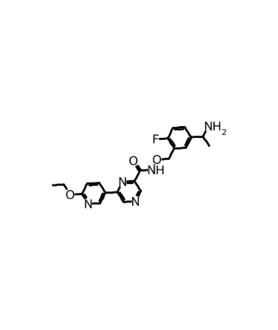 CCOc1ccc(-c2cncc(C(=O)NOCc3cc(C(C)N)ccc3F)n2)cn1